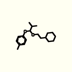 Cc1ccc(OC(OCCC2CCCCC2)C(C)C)cc1